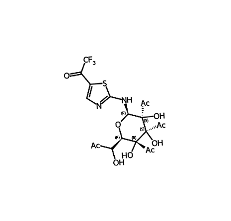 CC(=O)C(O)[C@H]1O[C@@H](Nc2ncc(C(=O)C(F)(F)F)s2)[C@](O)(C(C)=O)[C@](O)(C(C)=O)[C@@]1(O)C(C)=O